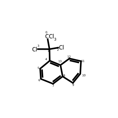 ClC(Cl)(Cl)C(Cl)(Cl)c1cccc2ccc[c]c12